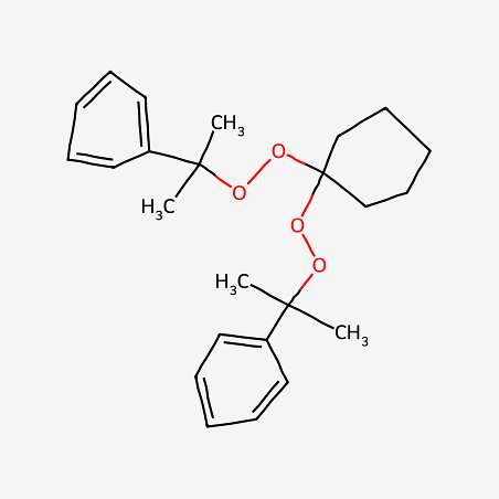 CC(C)(OOC1(OOC(C)(C)c2ccccc2)CCCCC1)c1ccccc1